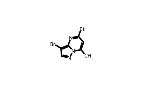 CCc1cc(C)n2ncc(Br)c2n1